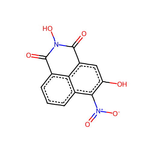 O=C1c2cccc3c([N+](=O)[O-])c(O)cc(c23)C(=O)N1O